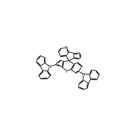 c1cnc2c(c1)C1(c3ccc(-n4c5ccccc5c5ccccc54)cc3Sc3cc(-n4c5ccccc5c5ccccc54)ccc31)c1cccnc1-2